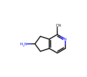 N#Cc1nccc2c1CC(N)C2